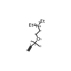 C#CC(C)(C)OCCN(CC)CC